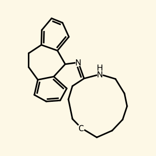 c1ccc2c(c1)CCc1ccccc1C2N=C1CCCCCCCCCCN1